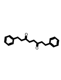 O=C(CCC(=O)CCc1ccccc1)CCc1ccccc1